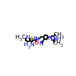 C=C1CN(c2ccc(CCNC(=O)c3sc4nc(C)ccc4c3N)c(C#N)c2)CC(C)N1